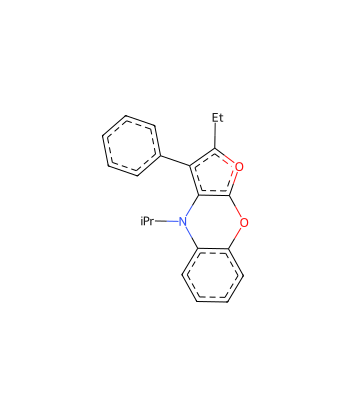 CCc1oc2c(c1-c1ccccc1)N(C(C)C)c1ccccc1O2